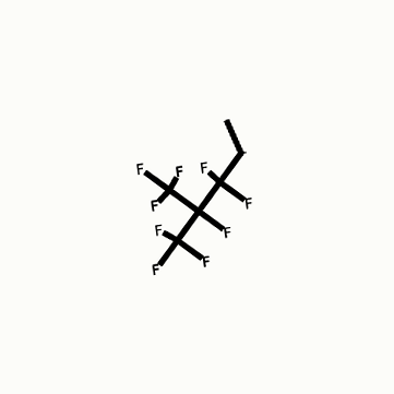 C[CH]C(F)(F)C(F)(C(F)(F)F)C(F)(F)F